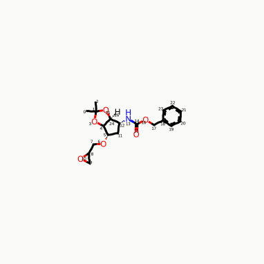 CC1(C)OC2[C@@H](OCC3CO3)C[C@@H](NC(=O)OCc3ccccc3)[C@@H]2O1